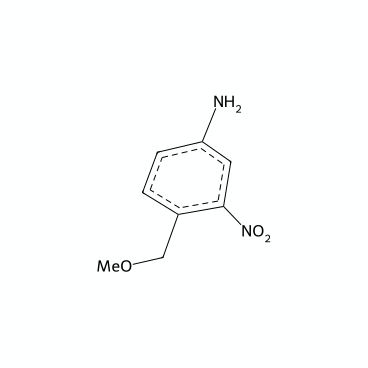 COCc1ccc(N)cc1[N+](=O)[O-]